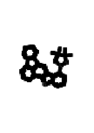 CC1(C)OB(c2cccc3oc4c5cccc6c5c(cc4c23)-c2ccccc2-6)OC1(C)C